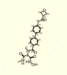 CNC(=O)C(C(=O)NO)N(C)C(=O)c1ccc(-c2ccc(CNC3COC3)cc2)cc1